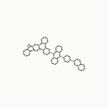 c1ccc2cc(-c3ccc(-c4c5ccccc5c(-c5ccc6c(c5)c5ccccc5c5cc7oc8ccccc8c7cc65)c5ccccc45)cc3)ccc2c1